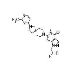 Cn1c(N2CCC3(CCN(c4ccnc(C(F)(F)F)n4)C3)CC2)nc2c(cnn2CC(F)F)c1=O